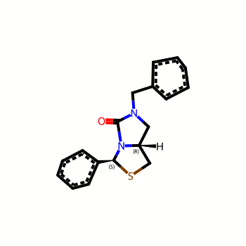 O=C1N(Cc2ccccc2)C[C@@H]2CS[C@@H](c3ccccc3)N12